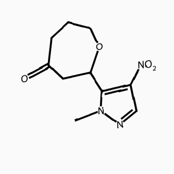 Cn1ncc([N+](=O)[O-])c1C1CC(=O)CCCO1